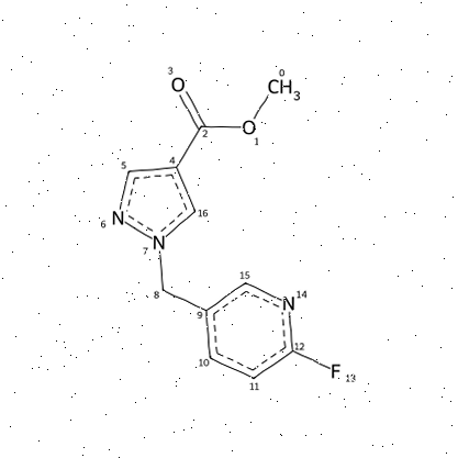 COC(=O)c1cnn(Cc2ccc(F)nc2)c1